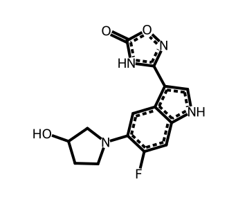 O=c1[nH]c(-c2c[nH]c3cc(F)c(N4CCC(O)C4)cc23)no1